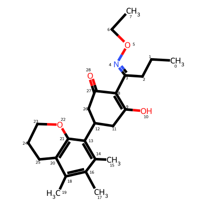 CCCC(=NOCC)C1=C(O)CC(c2c(C)c(C)c(C)c3c2OCCC3)CC1=O